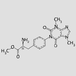 COC(=O)[C@@H](N)Cc1ccc(-n2c(=O)c3c(ncn3C)n(C)c2=O)cc1